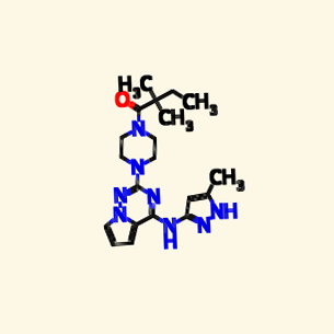 CCC(C)(C)C(=O)N1CCN(c2nc(Nc3cc(C)[nH]n3)c3cccn3n2)CC1